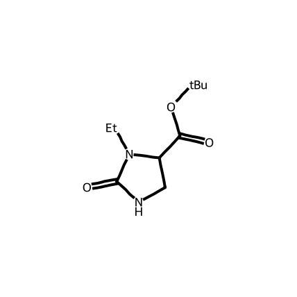 CCN1C(=O)NCC1C(=O)OC(C)(C)C